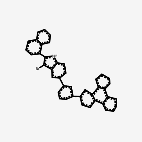 Brc1c(-c2cccc3ccccc23)[nH]c2ccc(-c3cccc(-c4ccc5c6ccccc6c6ccccc6c5c4)c3)cc12